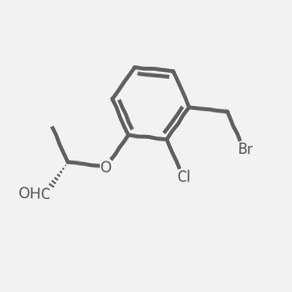 C[C@@H](C=O)Oc1cccc(CBr)c1Cl